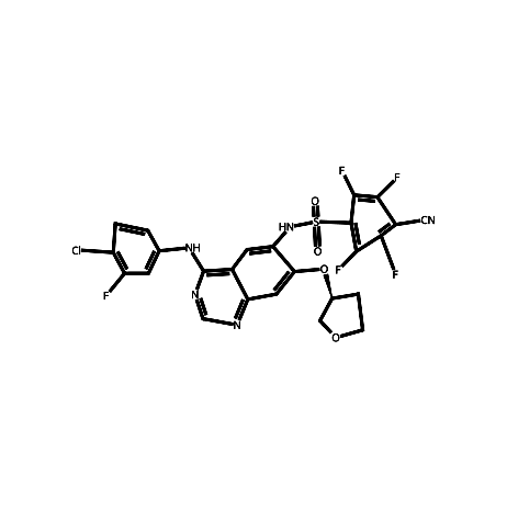 N#Cc1c(F)c(F)c(S(=O)(=O)Nc2cc3c(Nc4ccc(Cl)c(F)c4)ncnc3cc2O[C@H]2CCOC2)c(F)c1F